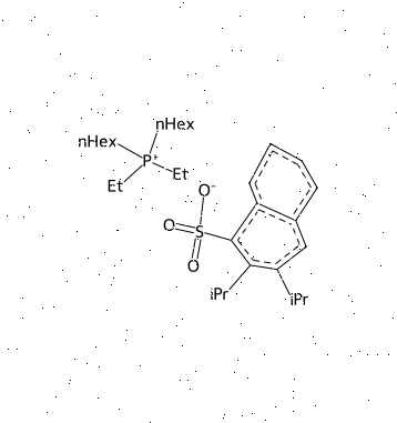 CC(C)c1cc2ccccc2c(S(=O)(=O)[O-])c1C(C)C.CCCCCC[P+](CC)(CC)CCCCCC